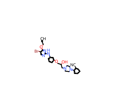 C#CCOc1nc(Nc2cccc(OCC(O)CN3CCN(c4ccccc4C#N)CC3)c2)ncc1Br